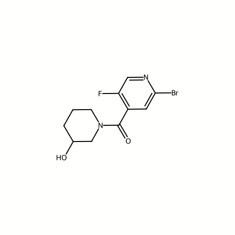 O=C(c1cc(Br)ncc1F)N1CCCC(O)C1